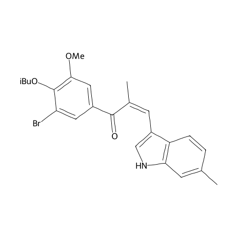 COc1cc(C(=O)C(C)=Cc2c[nH]c3cc(C)ccc23)cc(Br)c1OCC(C)C